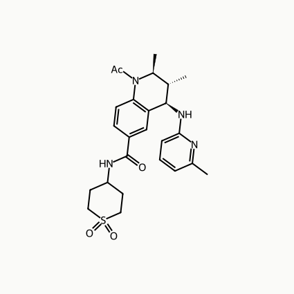 CC(=O)N1c2ccc(C(=O)NC3CCS(=O)(=O)CC3)cc2[C@H](Nc2cccc(C)n2)[C@@H](C)[C@@H]1C